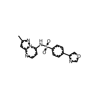 Cc1cc2nccc(NS(=O)(=O)c3ccc(-c4cocn4)cc3)n2n1